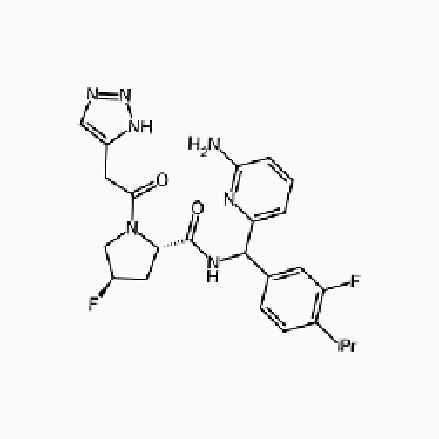 CC(C)c1ccc(C(NC(=O)[C@@H]2C[C@@H](F)CN2C(=O)Cc2cnn[nH]2)c2cccc(N)n2)cc1F